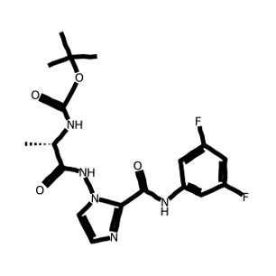 C[C@H](NC(=O)OC(C)(C)C)C(=O)Nn1ccnc1C(=O)Nc1cc(F)cc(F)c1